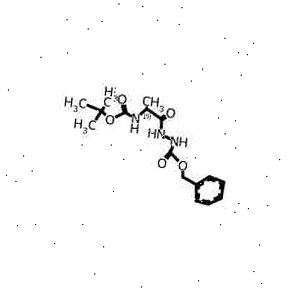 C[C@H](NC(=O)OC(C)(C)C)C(=O)NNC(=O)OCc1ccccc1